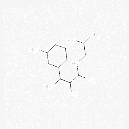 CC(C)CNC(C)C(C)C(C)C1CCCC(C)C1